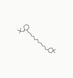 CC(C)(C)C[C]1CCCCC1CCCCCCCCCCCC1CCC(C)(C)CC1